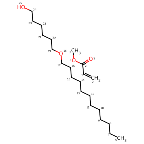 C=CC(=O)OC.CCCCCCCCCCCCOCCCCCCO